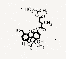 Cc1ccc(CO)c2c1[C@]13CCN(C)[C@H](C)[C@]1(O)CC=C(OC(=O)[C@@H](C)CC(=O)O[C@@H](C)C(=O)O)[C@@H]3O2